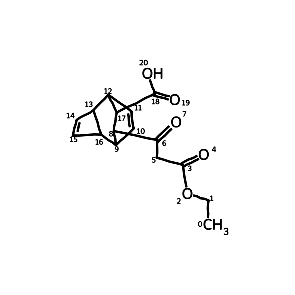 CCOC(=O)CC(=O)C1C2C=CC(C3C=CC32)C1C(=O)O